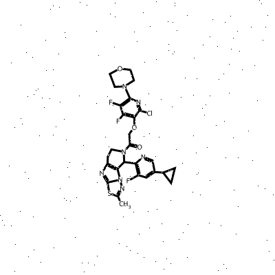 Cc1nn2c3c(nc2s1)CCN(C(=O)COc1c(Cl)nc(N2CCOCC2)c(F)c1F)C3c1ncc(C2CC2)cc1F